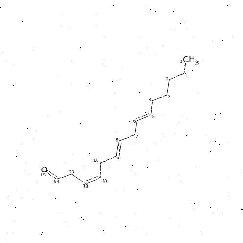 CCCCCC=CCC=CC/C=C\CC=O